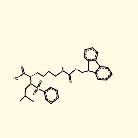 CC(C)CN([C@@H](CCCCNC(=O)OCC1c2ccccc2-c2ccccc21)C(=O)O)S(=O)(=O)c1ccccc1